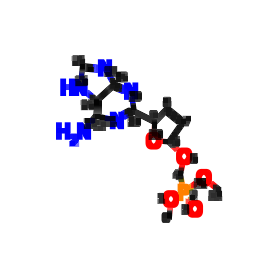 COP(=O)(COC1C=CC(c2nc(N)c3[nH]cnc3n2)O1)OC